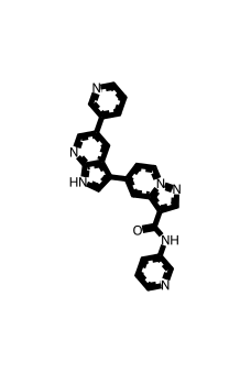 O=C(Nc1cccnc1)c1cnn2ccc(-c3c[nH]c4ncc(-c5cccnc5)cc34)cc12